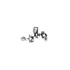 CC(C)(C)c1noc(-c2nn(-c3c[n+]([O-])ccn3)c3c2CC2CCC3O2)n1